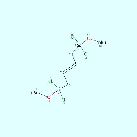 CCCCO[Si](Cl)(Cl)C/C=C/C[Si](Cl)(Cl)OCCCC